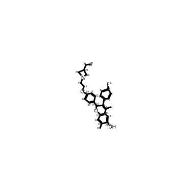 CC1=C(c2ccc(F)cc2)C(c2ccc(OCCN3CC(CF)C3)cc2)Oc2cc(C)c(O)cc21